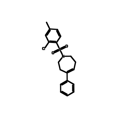 Cc1ccc(S(=O)(=O)N2CCC=C(c3ccccc3)CC2)c(Cl)c1